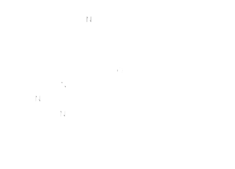 c1ccc(-c2nc(-c3ccccc3)nc(-c3ccc(-c4ccc5c(ccc6ccccc65)c4)c4oc5cc6ncccc6cc5c34)n2)cc1